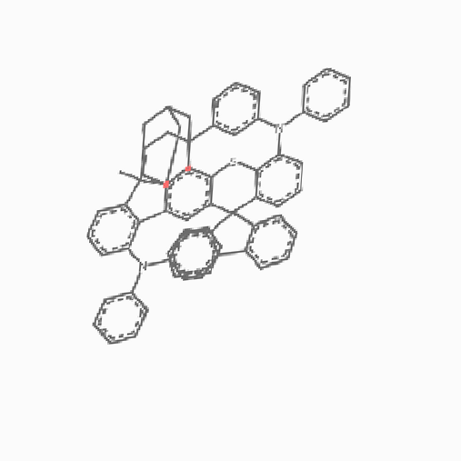 CC1(C)c2cc3c(cc2-c2c(N(c4ccccc4)c4ccccc4)cccc21)C1(c2ccccc2-c2ccccc21)c1cccc(N(c2ccccc2)c2cccc(C45CC6CC(CC(C6)C4)C5)c2)c1S3